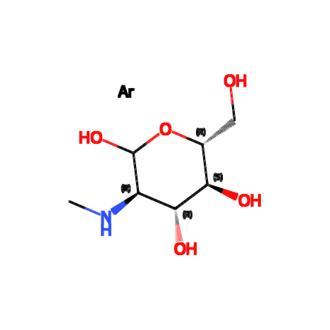 CN[C@H]1C(O)O[C@H](CO)[C@@H](O)[C@@H]1O.[Ar]